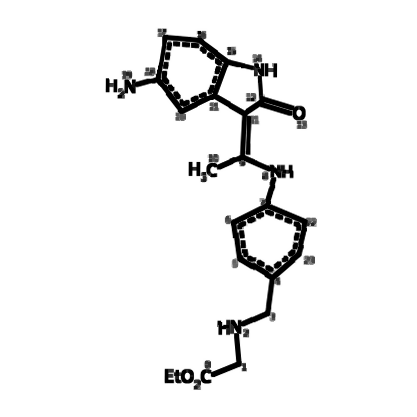 CCOC(=O)CNCc1ccc(N/C(C)=C2\C(=O)Nc3ccc(N)cc32)cc1